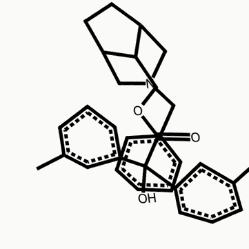 Cc1cccc(C(O)(C(=O)OCC2C3CCC2CN(Cc2ccccc2)C3)c2cccc(C)c2)c1